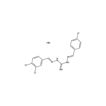 Br.N=C(N/N=C/c1ccc(Cl)cc1)N/N=C/c1ccc(Cl)c(Cl)c1